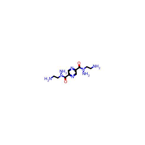 NCCN(N)C(=O)c1cnc(C(=O)N(N)CCN)cn1